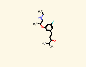 CCNC[C@H](C)Oc1cc(F)cc(CCC(=O)C(C)C)c1